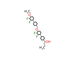 CCCC(O)c1ccc(-c2ccc(OCc3ccc(-c4ccc(OCC)c(F)c4F)cc3)c(F)c2F)cc1